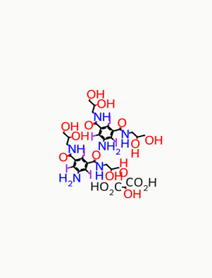 Nc1c(I)c(C(=O)NCC(O)CO)c(I)c(C(=O)NCC(O)CO)c1I.Nc1c(I)c(C(=O)NCC(O)CO)c(I)c(C(=O)NCC(O)CO)c1I.O=C(O)C(O)C(=O)O